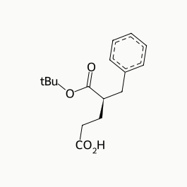 CC(C)(C)OC(=O)[C@H](CCC(=O)O)Cc1ccccc1